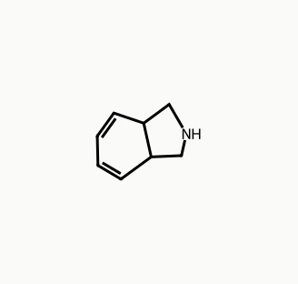 C1=CC2CNCC2C=C1